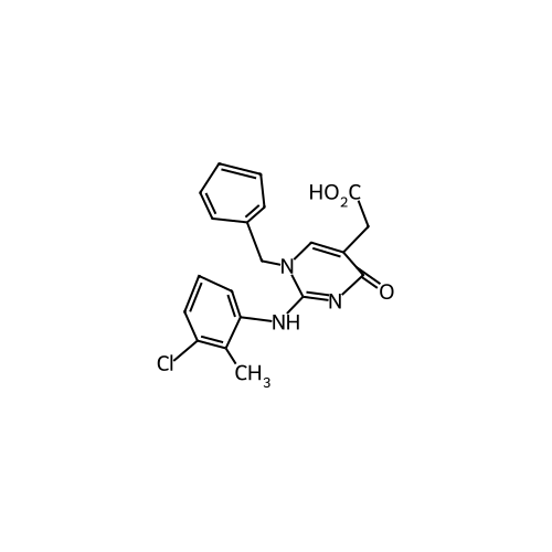 Cc1c(Cl)cccc1Nc1nc(=O)c(CC(=O)O)cn1Cc1ccccc1